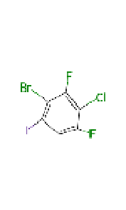 Fc1cc(I)c(Br)c(F)c1Cl